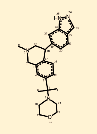 CN1Cc2cc(C(C)(C)N3CCOCC3)ccc2C(c2ccc3cn[nH]c3c2)C1